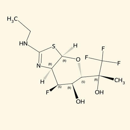 CCNC1=N[C@@H]2[C@H](F)[C@H](O)[C@@H]([C@@](C)(O)C(F)(F)F)O[C@@H]2S1